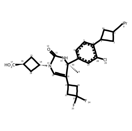 CC(C)C1CC(c2ccc([C@]3(C)NC(=O)N([C@H]4C[C@H](C(=O)O)C4)C=C3C3CC(F)(F)C3)cc2Cl)C1